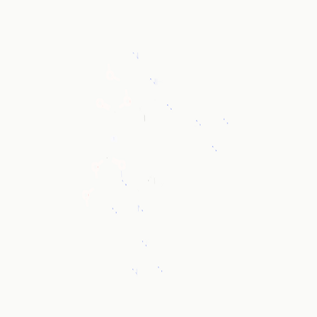 CC(NC1=Nc2ccccc2OC1OC(=O)/C=C/C(=O)OC1Oc2ccccc2N=C1NC(C)N1CCN(c2ncccn2)CC1)N1CCN(c2ncccn2)CC1